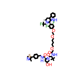 Cc1ncsc1-c1ccc(CNC(=O)[C@@H]2C[C@@H](O)CN2C(=O)C(NC(=O)COCCCCCOCCOc2cc(F)c([C@@H]3c4[nH]c5ccccc5c4C[C@@H](C)N3CC(C)(C)F)c(F)c2)C(C)(C)C)cc1